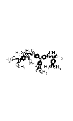 CCN(CC)c1ccc(N(c2ccc(N(CC)CCC(COC)N(CCOC)c3ccc(N(CCOC)CCOC)cc3)cc2)c2ccc(N(CC)CCN(C)c3ccc(N(C)C)cc3)cc2)cc1